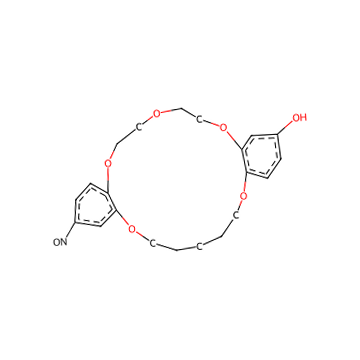 O=Nc1ccc2c(c1)OCCCCCOc1ccc(O)cc1OCCOCCO2